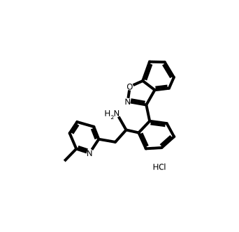 Cc1cccc(CC(N)c2ccccc2-c2noc3ccccc23)n1.Cl